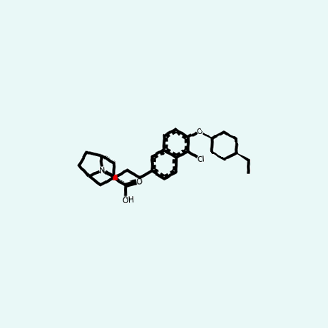 CC[C@H]1CC[C@@H](Oc2ccc3cc(CCCN4C5CCC4CC(C(=O)O)C5)ccc3c2Cl)CC1